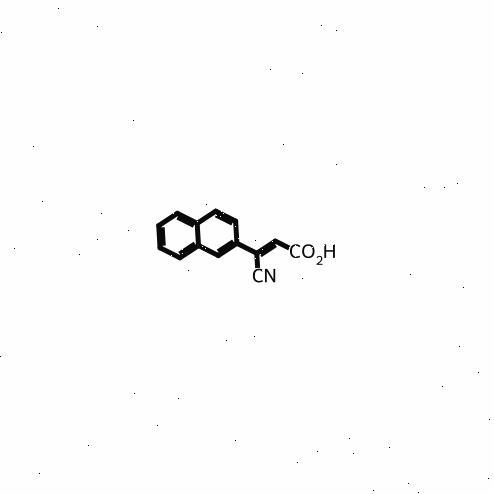 N#C/C(=C\C(=O)O)c1ccc2ccccc2c1